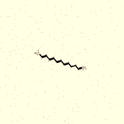 C=CCCC=CC=CC=CC=CC